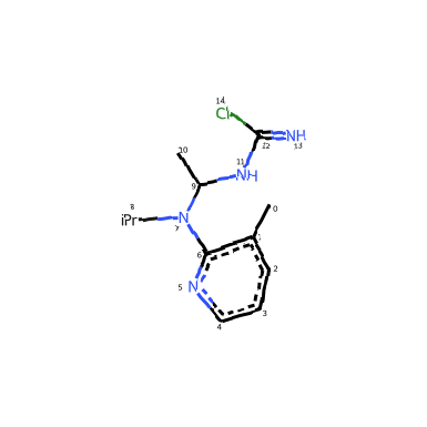 Cc1cccnc1N(C(C)C)C(C)NC(=N)Cl